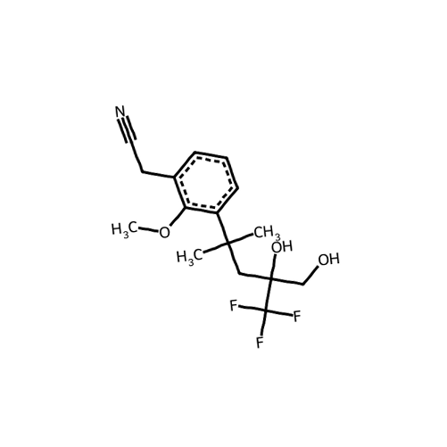 COc1c(CC#N)cccc1C(C)(C)CC(O)(CO)C(F)(F)F